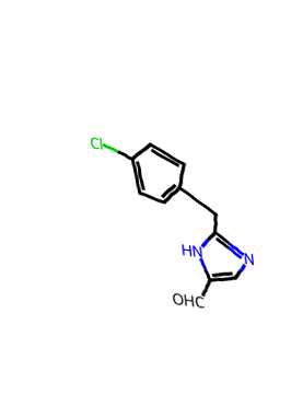 O=Cc1cnc(Cc2ccc(Cl)cc2)[nH]1